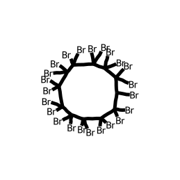 BrC1C(Br)(Br)C(Br)(Br)C(Br)(Br)C(Br)(Br)C(Br)(Br)C(Br)(Br)C(Br)(Br)C(Br)(Br)C(Br)(Br)C(Br)(Br)C1(Br)Br